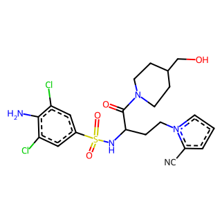 N#Cc1cccn1CCC(NS(=O)(=O)c1cc(Cl)c(N)c(Cl)c1)C(=O)N1CCC(CO)CC1